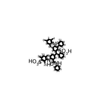 Cc1cc(C)c(Nc2ccc(C(c3ccc(Nc4c(C)cc(C)c(S(=O)(=O)O)c4C)c(C(=O)Nc4ccccc4)c3)c3ccccc3S(=O)(=O)O)cc2-c2ccccc2)c(C)c1